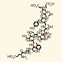 CC(C)C[C@H](NC(=O)[C@H](Cc1ccc(O)cc1)NC(=O)[C@H](CO)NC(=O)[C@H](CO)NC(=O)[C@@H](NC(=O)[C@H](CC(=O)O)NC(=O)[C@H](CO)NC(=O)[C@@H](NC(=O)[C@H](Cc1ccccc1)NC(=O)[C@@H](NC(=O)CNC(=O)[C@@H](N)CCC(=O)O)[C@@H](C)O)[C@@H](C)O)C(C)C)C(=O)N[C@@H](CCC(=O)O)C(=O)NCC(=O)O